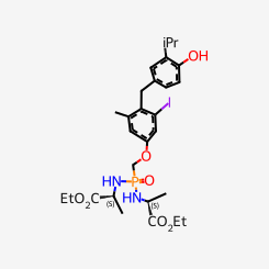 CCOC(=O)[C@H](C)NP(=O)(COc1cc(C)c(Cc2ccc(O)c(C(C)C)c2)c(I)c1)N[C@@H](C)C(=O)OCC